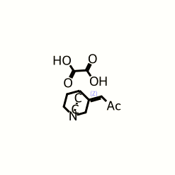 CC(=O)/C=C1\CN2CCC1CC2.O=C(O)C(=O)O